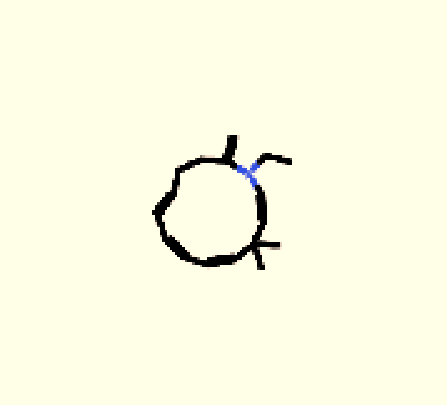 C=C1CC/C=C/C=C\C=C/C(C)(C)/C=C\N1CC